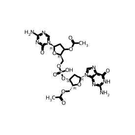 CC(=O)OC[C@H]1O[C@@H](n2cnc3c(=O)[nH]c(N)nc32)C[C@H]1OP(=O)(O)OC[C@H]1O[C@@H](n2cnc(N)nc2=O)CC1OC(C)=O